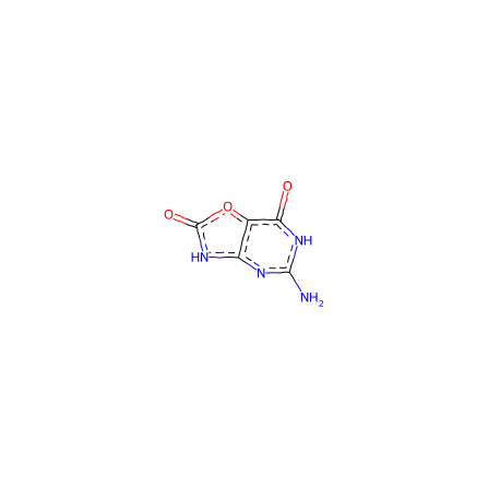 Nc1nc2[nH]c(=O)oc2c(=O)[nH]1